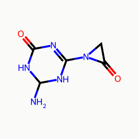 NC1NC(=O)N=C(N2CC2=O)N1